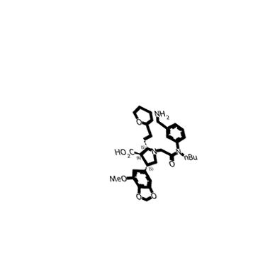 CCCCN(C(=O)CN1C[C@H](c2cc(OC)c3c(c2)OCO3)[C@@H](C(=O)O)[C@@H]1CCC1CCCCO1)c1cccc(CN)c1